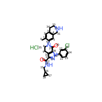 Cc1cc2c(cc1N1CCc3c(C(=O)NCC4CC4)nn(-c4cccc(Cl)c4)c3C1=O)CNCC2.Cl